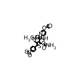 CN(C)Cc1c(-c2ccc([N+](=O)[O-])cc2)sc(OC(N)=O)c1C(=O)Nc1ccc(OC2COC2)cn1